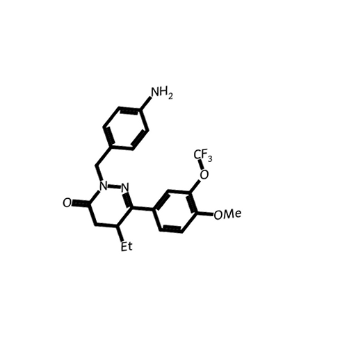 CCC1CC(=O)N(Cc2ccc(N)cc2)N=C1c1ccc(OC)c(OC(F)(F)F)c1